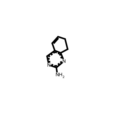 Nc1ncc2c(n1)CCC=C2